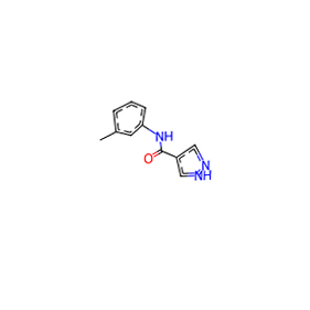 Cc1cccc(NC(=O)c2cn[nH]c2)c1